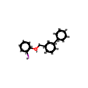 Ic1ccccc1OCc1cccc(-c2ccccc2)c1